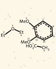 CC(=O)O.CCOCC.COc1ccccc1OC